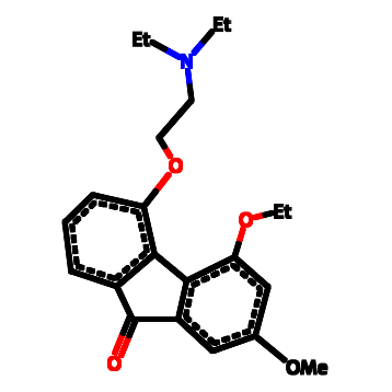 CCOc1cc(OC)cc2c1-c1c(OCCN(CC)CC)cccc1C2=O